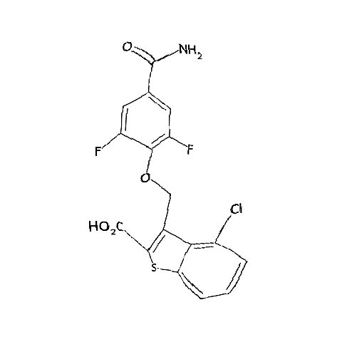 NC(=O)c1cc(F)c(OCc2c(C(=O)O)sc3cccc(Cl)c23)c(F)c1